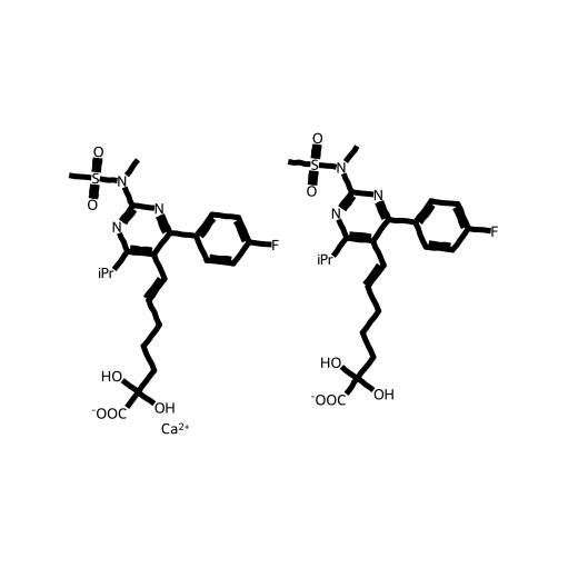 CC(C)c1nc(N(C)S(C)(=O)=O)nc(-c2ccc(F)cc2)c1C=CCCCC(O)(O)C(=O)[O-].CC(C)c1nc(N(C)S(C)(=O)=O)nc(-c2ccc(F)cc2)c1C=CCCCC(O)(O)C(=O)[O-].[Ca+2]